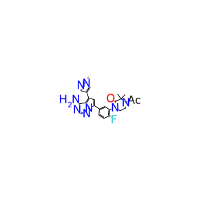 CC(=O)N1CCN(c2cc(-c3cc(-c4cnn(C)c4)c4c(N)ncnn34)ccc2F)C(=O)C1(C)C